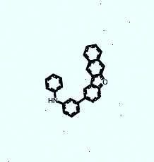 c1ccc(Nc2cccc(-c3ccc4oc5cc6ccccc6cc5c4c3)c2)cc1